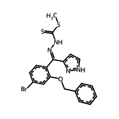 CSC(=S)NN=C(c1cc[nH]n1)c1ccc(Br)cc1OCc1ccccc1